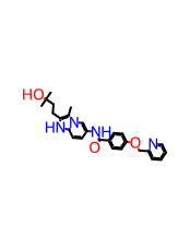 CC1=C(CCC(C)(C)O)NC2C=CC(NC(=O)c3ccc(OCc4ccccn4)cc3)=CN12